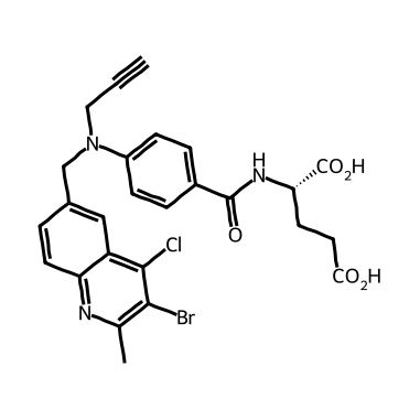 C#CCN(Cc1ccc2nc(C)c(Br)c(Cl)c2c1)c1ccc(C(=O)N[C@@H](CCC(=O)O)C(=O)O)cc1